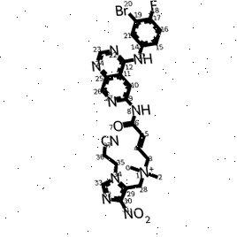 C[N+](C)(C/C=C/C(=O)Nc1cc2c(Nc3ccc(F)c(Br)c3)ncnc2cn1)Cc1c([N+](=O)[O-])ncn1CCC#N